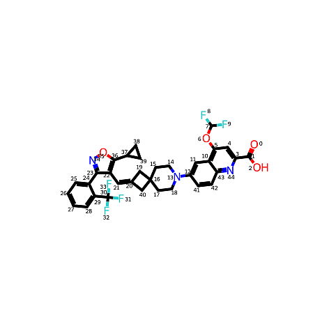 O=C(O)c1cc(OC(F)F)c2cc(N3CCC4(CC3)CC(=Cc3c(-c5ccccc5C(F)(F)F)noc3C3CC3)C4)ccc2n1